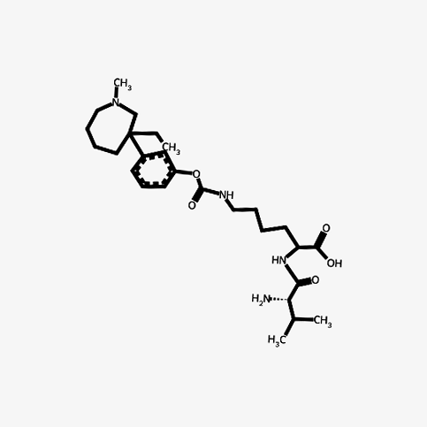 CCC1(c2cccc(OC(=O)NCCCCC(NC(=O)[C@@H](N)C(C)C)C(=O)O)c2)CCCCN(C)C1